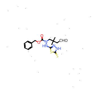 CC(C)(CC=O)CN(Nc1n[nH]c(=S)s1)C(=O)OCc1ccccc1